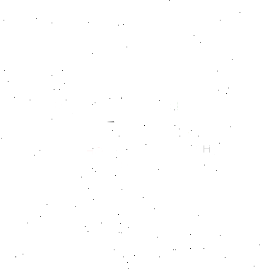 CSc1ccc([C@@H](C[C@H]2CCC(=O)C2)C(=O)O)cc1Cl